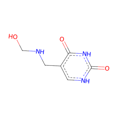 O=c1[nH]cc(CNCO)c(=O)[nH]1